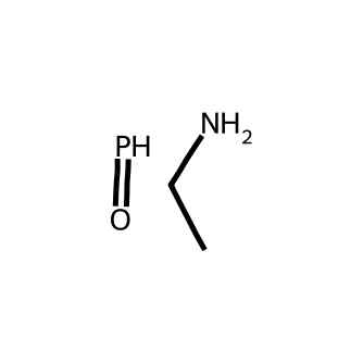 CCN.O=P